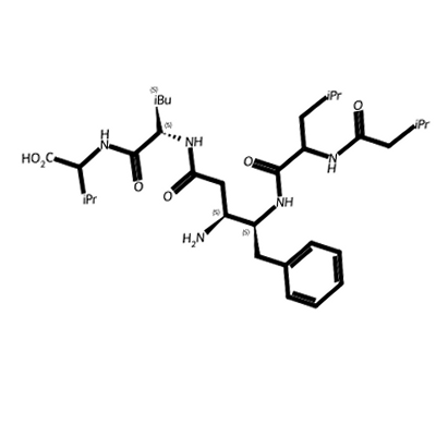 CC[C@H](C)[C@H](NC(=O)C[C@H](N)[C@H](Cc1ccccc1)NC(=O)C(CC(C)C)NC(=O)CC(C)C)C(=O)NC(C(=O)O)C(C)C